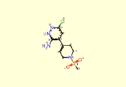 CS(=O)(=O)N1CC=C(c2cc(Cl)nnc2N)CC1